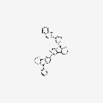 c1ccc(-n2c3c(c4cc(-c5cc6c7c(n(-c8cccc(-c9ccc%10ccccc%10n9)c8)c6cn5)CCCC7)ccc42)CCCC3)cc1